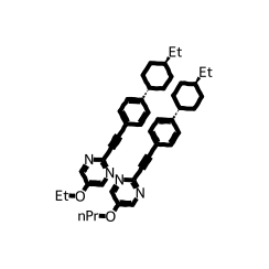 CCCOc1cnc(C#Cc2ccc([C@H]3CC[C@H](CC)CC3)cc2)nc1.CCOc1cnc(C#Cc2ccc([C@H]3CC[C@H](CC)CC3)cc2)nc1